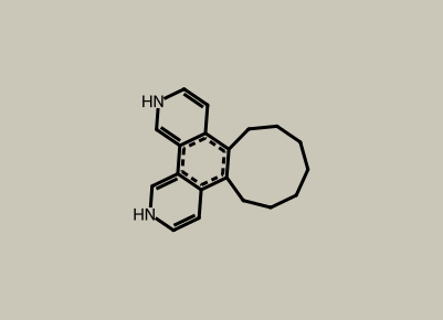 C1=Cc2c3c(c4c(c2=CN1)=CNC=C4)CCCCCCC3